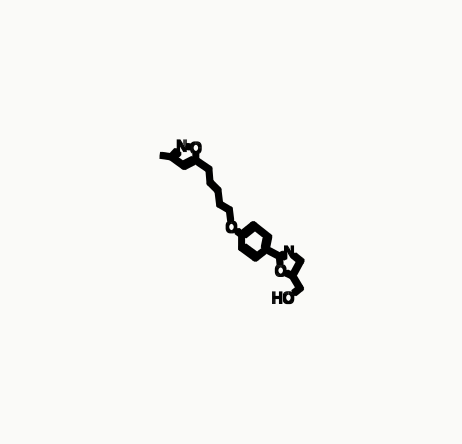 Cc1cc(CCCCCOc2ccc(C3=NCC(CO)O3)cc2)on1